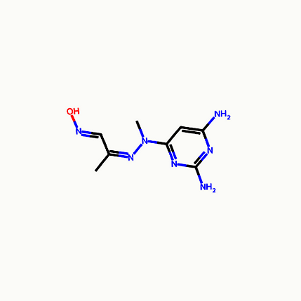 CC(/C=N/O)=N/N(C)c1cc(N)nc(N)n1